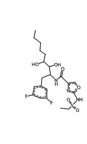 CCCCCC(O)C(O)C(Cc1cc(F)cc(F)c1)NC(=O)c1coc(NS(=O)(=O)CC)n1